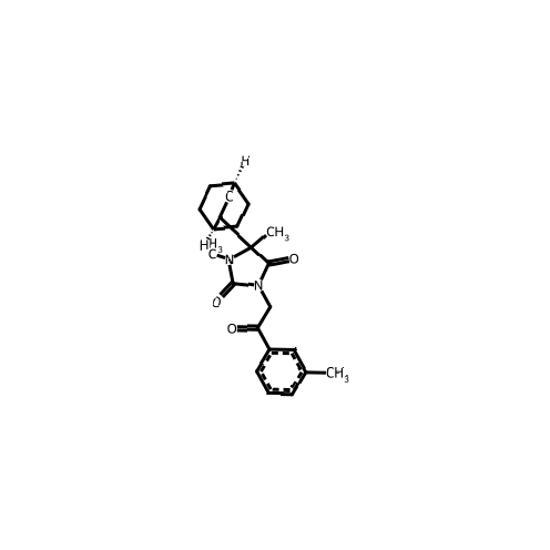 Cc1cccc(C(=O)CN2C(=O)N(C)C(C)(C3C[C@H]4CC[C@@H]3CC4)C2=O)c1